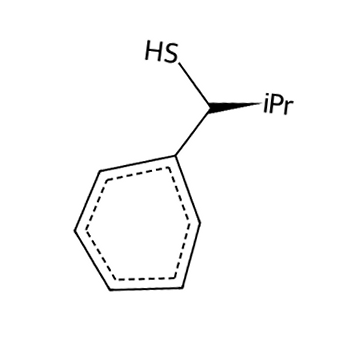 [CH2][C@H](C)C(S)c1ccccc1